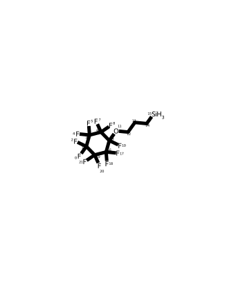 FC1(F)C(F)(F)C(F)(F)C(F)(OCCC[SiH3])C(F)(F)C1(F)F